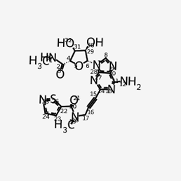 CNC(=O)[C@H]1O[C@@H](n2cnc3c(N)nc(C#CCN(C)C(=O)c4ccns4)nc32)[C@H](O)C1O